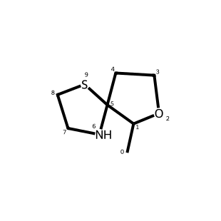 CC1OCCC12NCCS2